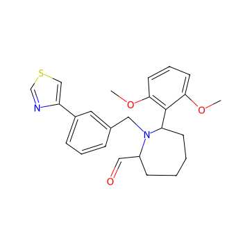 COc1cccc(OC)c1C1CCCCC(C=O)N1Cc1cccc(-c2cscn2)c1